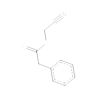 N#CCSC(=O)Cc1ccccc1